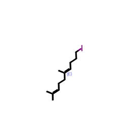 CC(C)=CCC/C(C)=C/CCCI